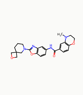 CN1CCOc2ccc(C(=O)Nc3ccc4oc(N5CCCC6(COC6)C5)nc4c3)cc21